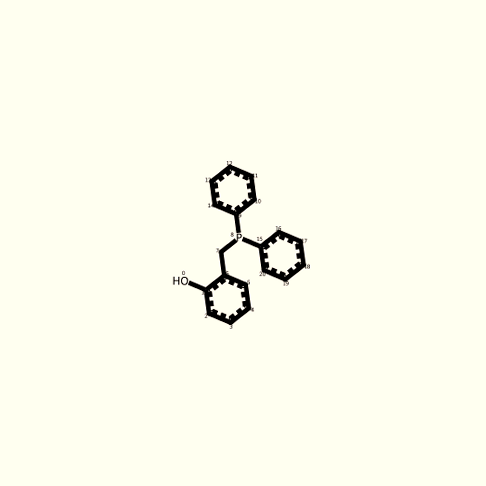 Oc1ccccc1CP(c1ccccc1)c1ccccc1